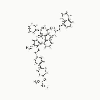 Cc1nn(C)c(COc2ccc(N3CCC(OC(C)C)CC3)cc2)c1-c1cccc2c(CCCOc3cccc4ccccc34)c(C(O)O)n(CCN3CCOCC3)c12